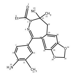 CCC(=O)N1N=C(c2ccc(N)c(C)c2)c2cc3c(cc2CC1(C)C#N)OCO3